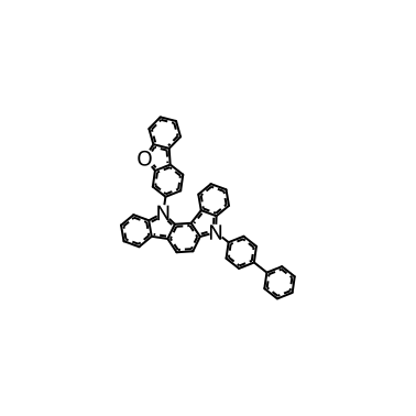 c1ccc(-c2ccc(-n3c4ccccc4c4c3ccc3c5ccccc5n(-c5ccc6c(c5)oc5ccccc56)c34)cc2)cc1